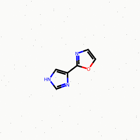 [c]1nc(-c2ncco2)c[nH]1